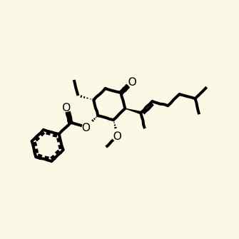 CC[C@@H]1CC(=O)[C@@H](C(C)=CCCC(C)C)[C@H](OC)[C@@H]1OC(=O)c1ccccc1